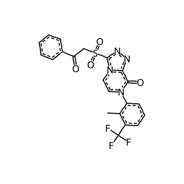 Cc1c(-n2ccn3c(S(=O)(=O)CC(=O)c4ccccc4)nnc3c2=O)cccc1C(F)(F)F